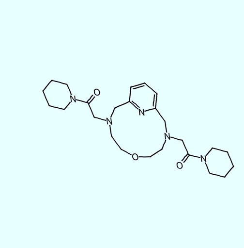 O=C(CN1CCOCCN(CC(=O)N2CCCCC2)Cc2cccc(n2)C1)N1CCCCC1